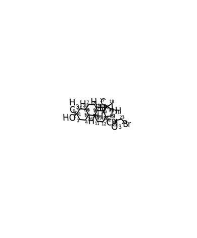 C[C@@]1(O)CC[C@H]2[C@H](CC[C@@H]3[C@@H]2CC[C@@]2(C)[C@H]3[C@]3(C)C[C@@H]3[C@@H]2C(=O)CBr)C1